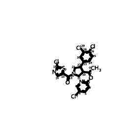 CC(Oc1ccc(Cl)cn1)C1CN(C(=O)c2cnc(Cl)s2)CC1c1ccc(Cl)c(Cl)c1